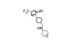 CC(C)n1cc(C(F)(F)F)nc1-c1ccc(CNC2CCOCC2)cc1